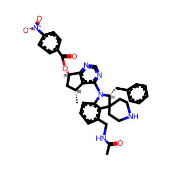 CC(=O)NCc1cccc2c1C1(CCNCC1)[C@@H](Cc1ccccc1)N2c1ncnc2c1[C@H](C)C[C@H]2OC(=O)c1ccc([N+](=O)[O-])cc1